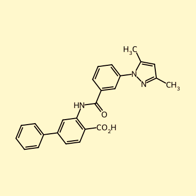 Cc1cc(C)n(-c2cccc(C(=O)Nc3cc(-c4ccccc4)ccc3C(=O)O)c2)n1